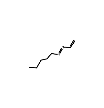 C=CN=NCCCCC